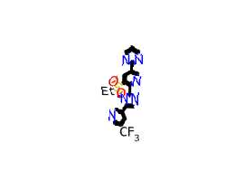 CCS(=O)(=O)c1cc(-c2ncccn2)cnc1-c1ncc(-c2cncc(C(F)(F)F)c2)n1C